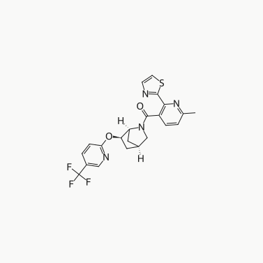 Cc1ccc(C(=O)N2C[C@H]3C[C@@H](Oc4ccc(C(F)(F)F)cn4)[C@@H]2C3)c(-c2nccs2)n1